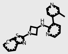 Cc1cnccc1-c1cccnc1NC1CN(c2nc3ccccc3s2)C1